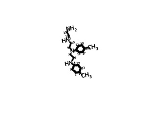 Cc1ccc(NCCN(CCNCCN)c2ccc(C)cc2)cc1